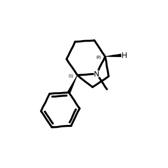 CN1[C@@H]2CCC[C@@]1(c1ccccc1)CC2